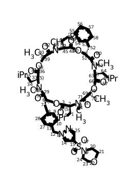 CC(C)C[C@H]1C(=O)O[C@H](Cc2ccc(Cn3cc(S(=O)(=O)N4CCOCC4)cn3)cc2)C(=O)N(C)[C@@H](CC(C)C)C(=O)O[C@H](C)C(=O)N(C)[C@@H](CC(C)C)C(=O)O[C@H](Cc2ccccc2)C(=O)N(C)[C@@H](CC(C)C)C(=O)O[C@H](C)C(=O)N1C